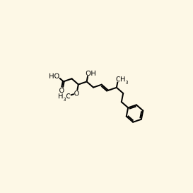 COC(CC(=O)O)C(O)CC=CC(C)CCc1ccccc1